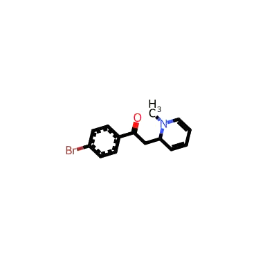 CN1C=CC=CC1CC(=O)c1ccc(Br)cc1